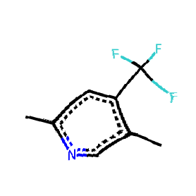 Cc1cc(C(F)(F)F)c(C)cn1